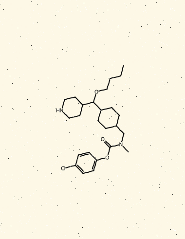 CCCCOC(C1CCNCC1)C1CCC(CN(C)C(=O)Oc2ccc(Cl)cc2)CC1